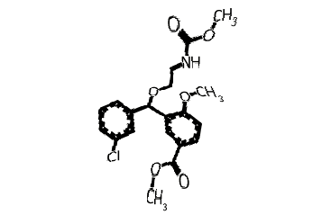 COC(=O)NCCOC(c1cccc(Cl)c1)c1cc(C(=O)OC)ccc1OC